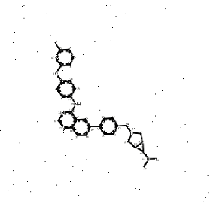 Cc1cccc(Oc2ccc(Nc3ncnc4ccc(-c5ccc(CN6CC7C(C6)C7N(C)C)cc5)cc34)cc2)c1